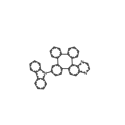 c1ccc2c(c1)-c1cc(-n3c4ccccc4c4ccccc43)ccc1-c1ccc3nccnc3c1-c1ccccc1-2